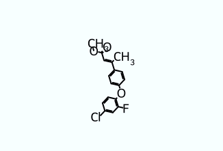 COC(=O)C=C(C)c1ccc(Oc2ccc(Cl)cc2F)cc1